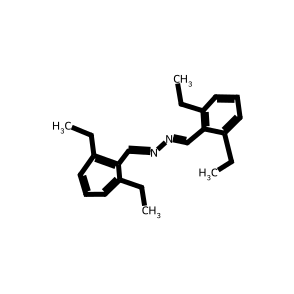 CCc1cccc(CC)c1C=NN=Cc1c(CC)cccc1CC